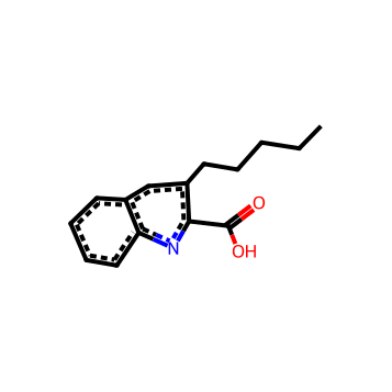 CCCCCc1cc2ccccc2nc1C(=O)O